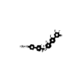 CCCCCc1ccc(-c2ccc(C(F)(F)Oc3ccc(-c4ccc(-c5cc(F)c(F)c(F)c5)c(F)c4)c(F)c3)c(F)c2)cc1